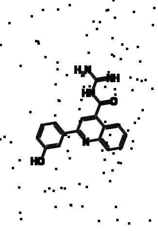 N=C(N)NC(=O)c1cc(-c2cccc(O)c2)nc2ccccc12